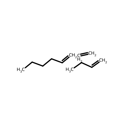 C=C.C=CCC.C=CCCCC